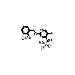 CC[Si](CC)(CC)Nc1nc(OCc2ccccc2OC)ncc1F